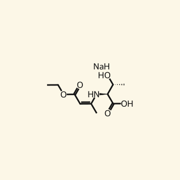 CCOC(=O)C=C(C)N[C@H](C(=O)O)[C@@H](C)O.[NaH]